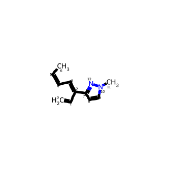 C=C/C(=C\C=C/C)c1ccn(C)n1